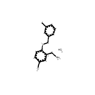 Cc1cccc(COc2ccc(Cl)cc2CN)c1.Cl